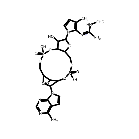 Cc1ccn(C2OC3COP(=O)(S)OC4C(O)C(COP(=O)(O)OC3C2O)OC4n2ccc3c(N)ncnc32)c1/N=C(/N)NC=O